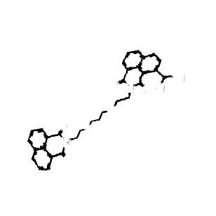 CC(C)c1ccc2cccc3c2c1C(=O)N(CCSCCCOCCN1C(=O)c2cccc4cccc(c24)C1=O)C3=O